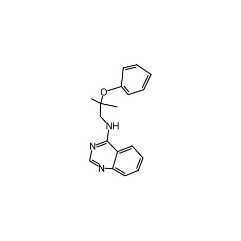 CC(C)(CNc1ncnc2ccccc12)Oc1ccccc1